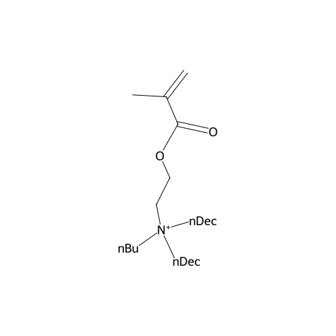 C=C(C)C(=O)OCC[N+](CCCC)(CCCCCCCCCC)CCCCCCCCCC